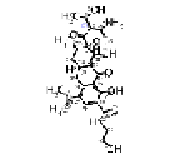 C/C(O)=C(/C(N)=O)C(=O)[C@@]1(O)C(O)=C2C(=O)c3c(O)c(C(=O)NCCO)cc(N(C)C)c3C[C@H]2C[C@H]1C